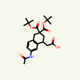 CC(=O)Nc1ccc2c(c1)C(CC(=O)O)CC(C(=O)OC(C)(C)C)(C(=O)OC(C)(C)C)C2